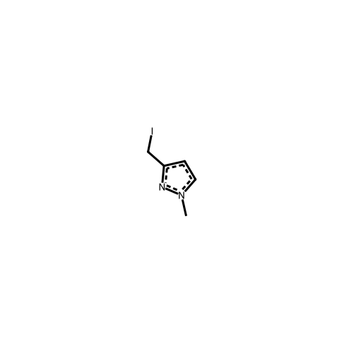 Cn1ccc(CI)n1